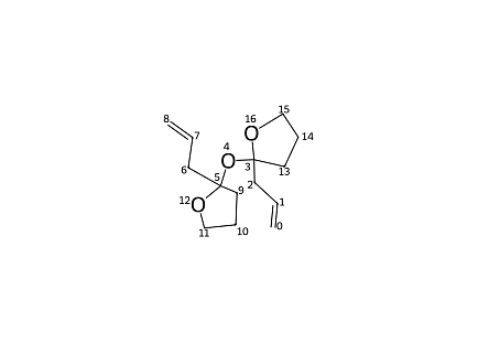 C=CCC1(OC2(CC=C)CCCO2)CCCO1